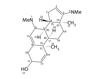 CNC1=CC[C@H]2[C@@H]3C(NC)C=C4CC(O)C=C[C@]4(C)[C@@H]3CC[C@]12C